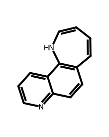 C1=CNc2c(ccc3ncccc23)C=C1